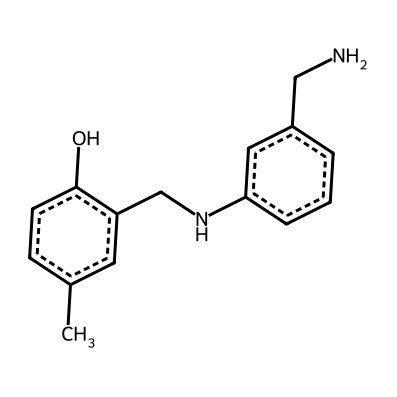 Cc1ccc(O)c(CNc2cccc(CN)c2)c1